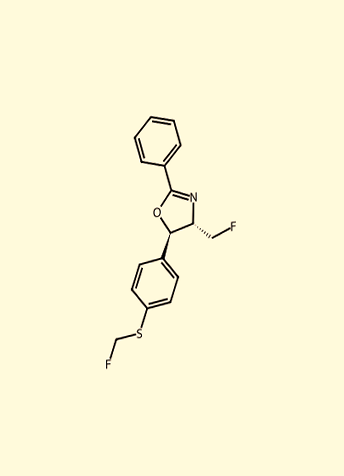 FCSc1ccc([C@H]2OC(c3ccccc3)=N[C@@H]2CF)cc1